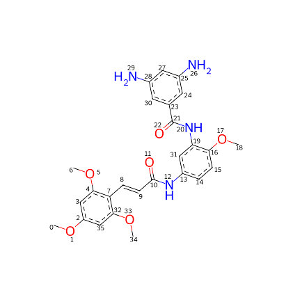 COc1cc(OC)c(C=CC(=O)Nc2ccc(OC)c(NC(=O)c3cc(N)cc(N)c3)c2)c(OC)c1